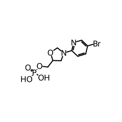 O=P(O)(O)OCC1CN(c2ccc(Br)cn2)CO1